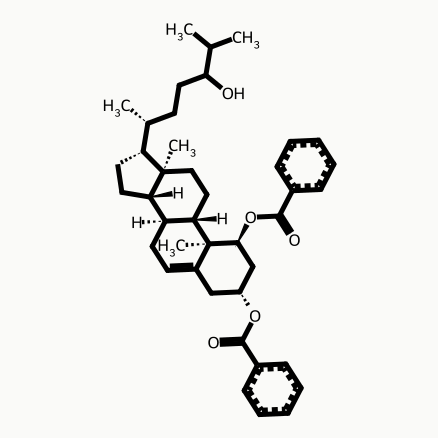 CC(C)C(O)CC[C@@H](C)[C@H]1CC[C@H]2[C@@H]3CC=C4C[C@@H](OC(=O)c5ccccc5)C[C@H](OC(=O)c5ccccc5)[C@]4(C)[C@H]3CC[C@]12C